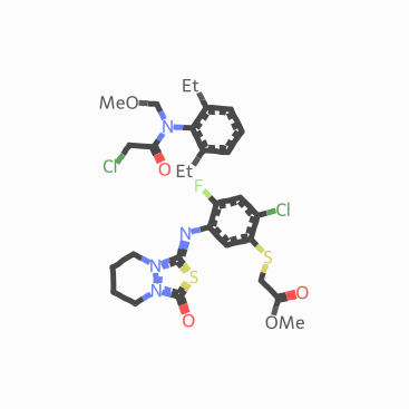 CCc1cccc(CC)c1N(COC)C(=O)CCl.COC(=O)CSc1cc(/N=c2\sc(=O)n3n2CCCC3)c(F)cc1Cl